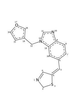 C1=NCSC1=Cc1ccc2ncn(Cc3ccoc3)c2c1